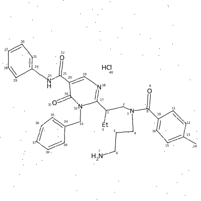 CCC(CN(CCCN)C(=O)c1ccc(C)cc1)c1ncc(C(=O)Nc2ccccc2)c(=O)n1Cc1ccccc1.Cl